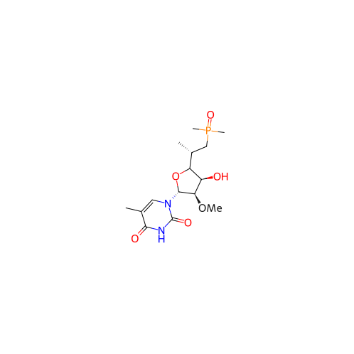 CO[C@@H]1[C@H](O)C([C@H](C)CP(C)(C)=O)O[C@H]1n1cc(C)c(=O)[nH]c1=O